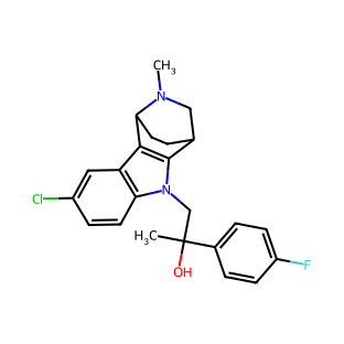 CN1CC2CCC1c1c2n(CC(C)(O)c2ccc(F)cc2)c2ccc(Cl)cc12